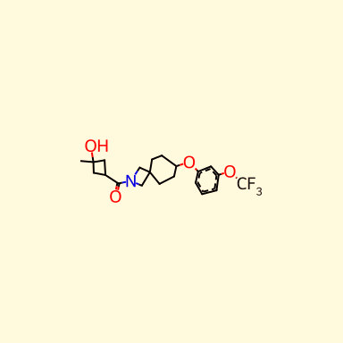 CC1(O)CC(C(=O)N2CC3(CCC(Oc4cccc(OC(F)(F)F)c4)CC3)C2)C1